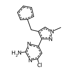 Cn1cc(Cc2ccccc2)c(-c2cc(Cl)nc(N)n2)n1